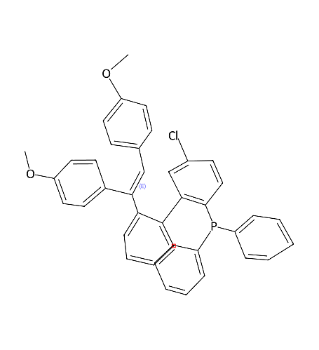 COc1ccc(/C=C(\c2ccc(OC)cc2)c2ccccc2-c2cc(Cl)ccc2P(c2ccccc2)c2ccccc2)cc1